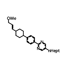 CCCCCCCc1cnc(-c2ccc(C3CCC(/C=C/COC)CC3)cc2)nc1